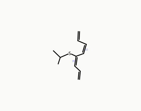 C=C/C=C\C(=C/C=C)SC(C)C